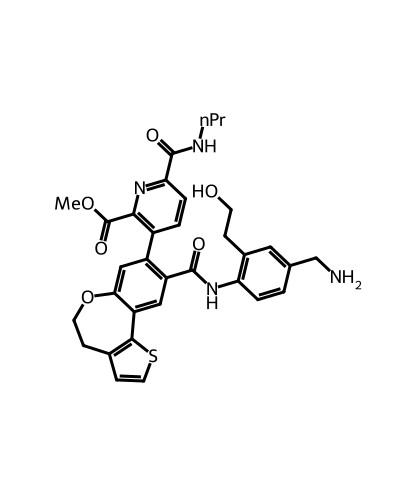 CCCNC(=O)c1ccc(-c2cc3c(cc2C(=O)Nc2ccc(CN)cc2CCO)-c2sccc2CCO3)c(C(=O)OC)n1